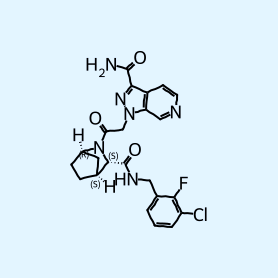 NC(=O)c1nn(CC(=O)N2[C@@H]3CC[C@@H](C3)[C@H]2C(=O)NCc2cccc(Cl)c2F)c2cnccc12